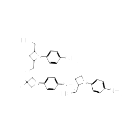 CC1(O)CN(c2ccc(N)cc2)C1.Nc1ccc(N2C(CO)CC2CO)cc1.Nc1ccc(N2CCC2CO)cc1